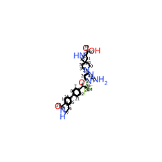 Nc1nc(OC(c2ccc(-c3ccc4c(c3)CCNC4=O)cc2)C(F)(F)F)cc(N2CCC3(CC2)CNC(C(=O)O)C3)n1